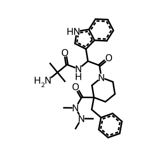 CN(C)N(C)C(=O)C1(Cc2ccccc2)CCCN(C(=O)C(NC(=O)C(C)(C)N)c2c[nH]c3ccccc23)C1